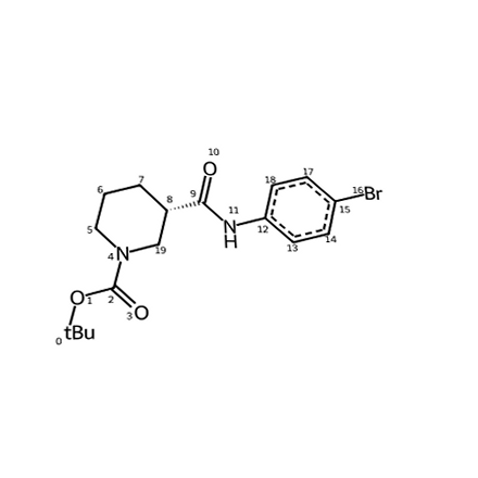 CC(C)(C)OC(=O)N1CCC[C@H](C(=O)Nc2ccc(Br)cc2)C1